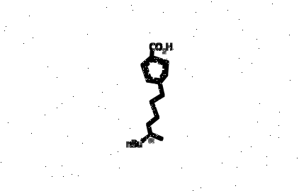 CCCC[C@H](C)CCCCc1ccc(C(=O)O)cc1